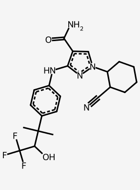 CC(C)(c1ccc(Nc2nn(C3CCCCC3C#N)cc2C(N)=O)cc1)C(O)C(F)(F)F